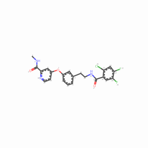 CNC(=O)c1cc(Oc2cccc(CCNC(=O)c3cc(F)c(F)cc3Cl)c2)ccn1